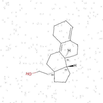 OCC[C@@]12CCC[C@H]1[C@@H]1CCC3=CCCCC3=C1CC2